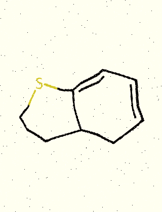 C1=CCC2CCSC2=C1